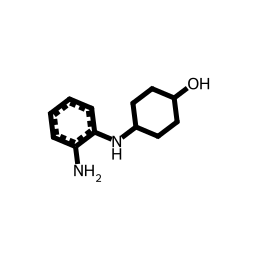 Nc1ccccc1NC1CCC(O)CC1